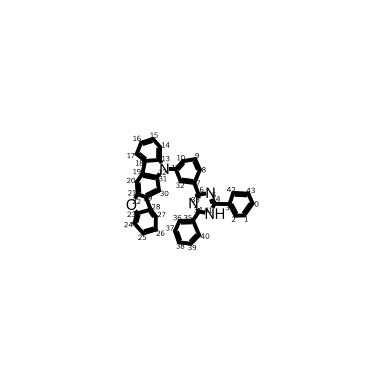 c1ccc(C2=NC(c3cccc(-n4c5ccccc5c5cc6oc7ccccc7c6cc54)c3)=NC(c3ccccc3)N2)cc1